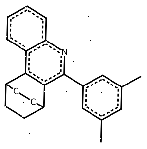 Cc1cc(C)cc(-c2nc3ccccc3c3c2C2CCC3CC2)c1